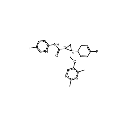 Cc1ncc(OC[C@@]2(C3C=CC(F)=CC3)C[C@H]2C(=O)Nc2ccc(F)cn2)c(C)n1